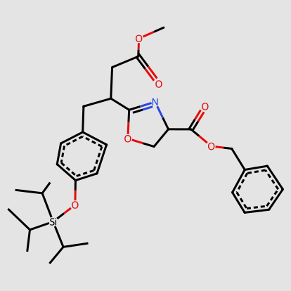 COC(=O)CC(Cc1ccc(O[Si](C(C)C)(C(C)C)C(C)C)cc1)C1=NC(C(=O)OCc2ccccc2)CO1